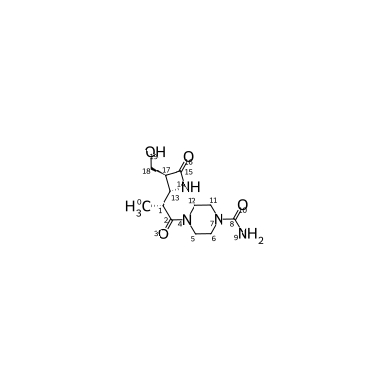 C[C@@H](C(=O)N1CCN(C(N)=O)CC1)[C@H]1NC(=O)[C@@H]1CO